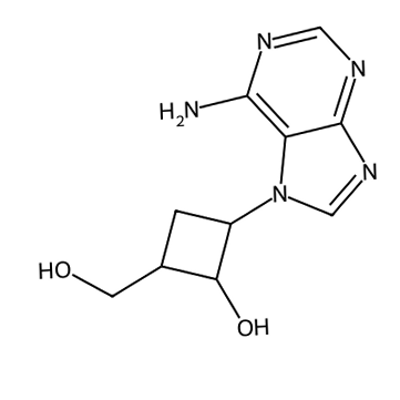 Nc1ncnc2ncn(C3CC(CO)C3O)c12